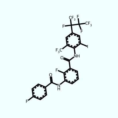 O=C(Nc1cccc(C(=O)Nc2c(I)cc(C(F)(C(F)(F)F)C(F)(F)C(F)(F)F)cc2C(F)(F)F)c1F)c1ccc(F)cc1